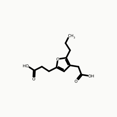 CCCc1oc(CCC(=O)O)cc1CC(=O)O